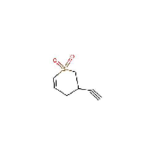 C#CC1CC=CS(=O)(=O)C1